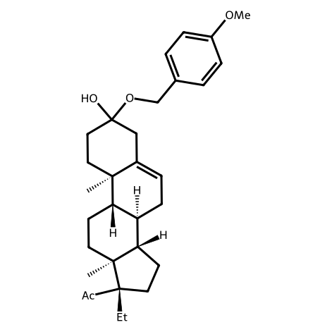 CC[C@]1(C(C)=O)CC[C@H]2[C@@H]3CC=C4CC(O)(OCc5ccc(OC)cc5)CC[C@]4(C)[C@H]3CC[C@@]21C